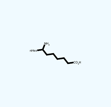 CCCCCCC(N)CCCCCC(=O)O